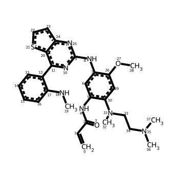 C=CC(=O)Nc1cc(Nc2nc(-c3ccccc3NC)c3sccc3n2)c(OC)cc1N(C)CCN(C)C